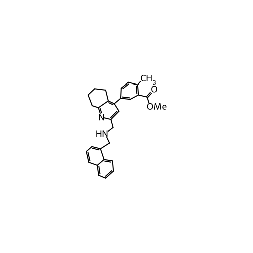 COC(=O)c1cc(-c2cc(CNCc3cccc4ccccc34)nc3c2CCCC3)ccc1C